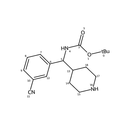 CC(C)(C)OC(=O)NC(c1cccc(C#N)c1)C1CCNCC1